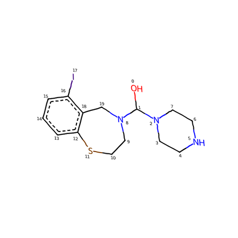 OC(N1CCNCC1)N1CCSc2cccc(I)c2C1